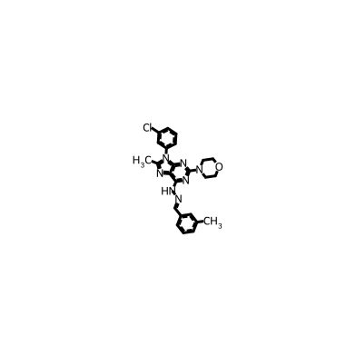 Cc1cccc(C=NNc2nc(N3CCOCC3)nc3c2nc(C)n3-c2cccc(Cl)c2)c1